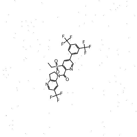 CCS(=O)(=O)c1cc(-c2cc(C(F)(F)F)cc(C(F)(F)F)c2)cnc1C(=O)N1CCc2ncc(C(F)(F)F)cc21